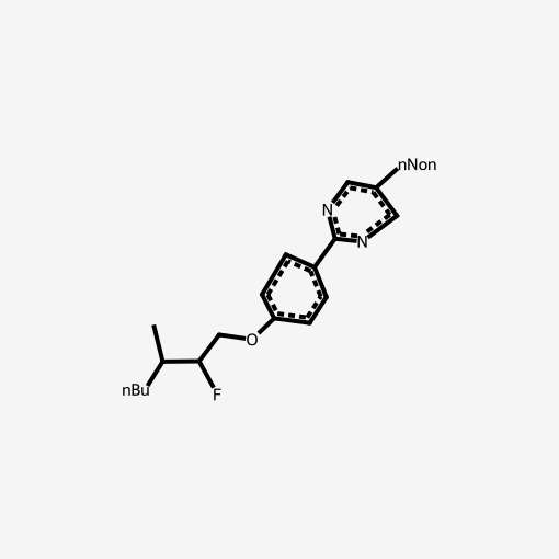 CCCCCCCCCc1cnc(-c2ccc(OCC(F)C(C)CCCC)cc2)nc1